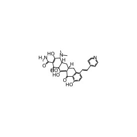 CN(C)[C@H]1C(O)=C(C(N)=O)C(=O)[C@@]2(O)C(O)=C3C(=O)c4c(O)ccc(/C=C/c5ccncc5)c4C[C@H]3C[C@@H]12